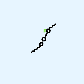 CCCCCCCc1ccc([C@H]2CC[C@H](C#Cc3ccc(CCCCC)cc3F)CC2)cc1